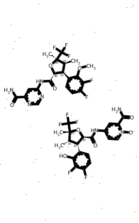 COc1c([C@H]2[C@H](C(=O)Nc3cc(C(N)=O)ncn3)O[C@@](C)(C(F)(F)F)[C@H]2C)ccc(F)c1F.C[C@H]1[C@@H](c2ccc(F)c(F)c2O)[C@H](C(=O)Nc2cc[n+]([O-])c(C(N)=O)c2)O[C@@]1(C)C(F)(F)F